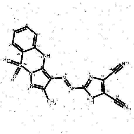 Cc1nn2c(c1/N=N/c1nc(C#N)c(C#N)[nH]1)Nc1ccccc1S2(=O)=O